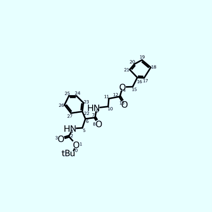 CC(C)(C)OC(=O)NCC(C(=O)NCCC(=O)OCc1ccccc1)c1ccccc1